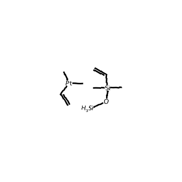 C=C[Si](C)(C)O[SiH3].C=[CH][Pt]([CH3])[CH3]